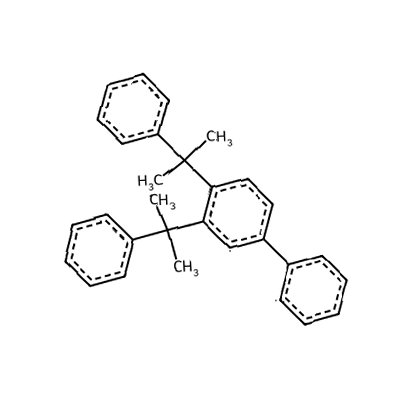 CC(C)(c1ccccc1)c1[c]c(-c2[c]cccc2)ccc1C(C)(C)c1ccccc1